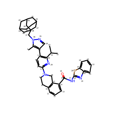 Cc1c(-c2ccc(N3CCc4cccc(C(=O)Nc5nc6ccccc6s5)c4C3)nc2C(C)C)cnn1CC12CC3CC(CC(C3)C1)C2